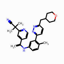 C=C(Nc1ccc(C)c(-c2ccc(CC3CCOCC3)nn2)c1)c1ccnc(C(C)(C)C#N)c1